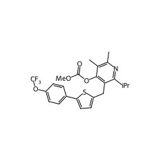 COC(=O)Oc1c(C)c(C)nc(C(C)C)c1Cc1ccc(-c2ccc(OC(F)(F)F)cc2)s1